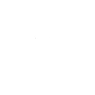 Cc1ccc2c(c1)-c1cccnc1C2